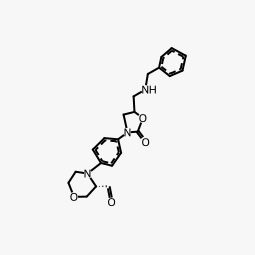 O=C[C@@H]1COCCN1c1ccc(N2CC(CNCc3ccccc3)OC2=O)cc1